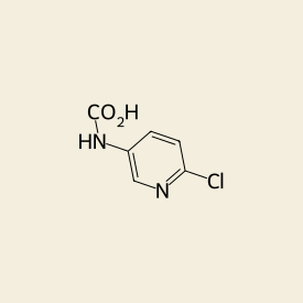 O=C(O)Nc1ccc(Cl)nc1